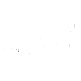 CN1CCC(O)(c2cc3ccc(-c4cnc5nn(C)cc5c4)nc3s2)C1